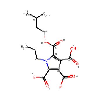 CCCn1c(C(=O)O)c(C(=O)O)c(C(=O)O)c1C(=O)OCCC(C)C